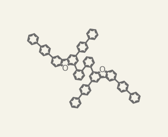 c1ccc(-c2ccc(-c3ccc4oc5c(-c6ccccc6-c6ccccc6-c6cc(-c7ccc(-c8ccccc8)cc7)cc7c6oc6ccc(-c8ccc(-c9ccccc9)cc8)cc67)cc(-c6ccc(-c7ccccc7)cc6)cc5c4c3)cc2)cc1